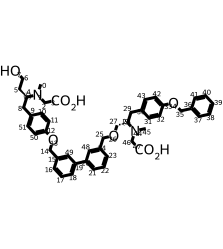 CN(CC(=O)O)[C@H](CCO)Cc1ccc(OCc2cccc(-c3cccc(COC[C@H](Cc4ccc(OCc5ccccc5)cc4)N(C)CC(=O)O)c3)c2)cc1